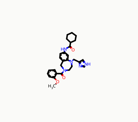 COc1ccccc1C(=O)N1CCN(Cc2c[nH]cn2)c2cc(NC(=O)C3CCCCC3)ccc2C1